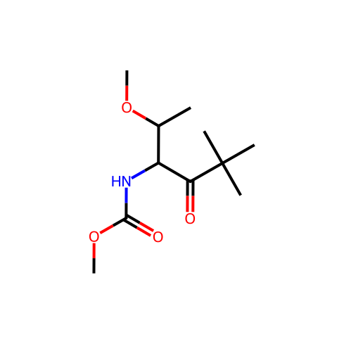 COC(=O)NC(C(=O)C(C)(C)C)C(C)OC